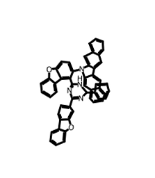 c1ccc(C2N=C(c3ccc4c(c3)oc3ccccc34)N=C(c3c(-n4c5cc6ccccc6cc5c5cc6ccccc6cc54)ccc4oc5ccccc5c34)N2)cc1